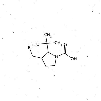 CC(C)(C)C1C(CBr)CCN1C(=O)O